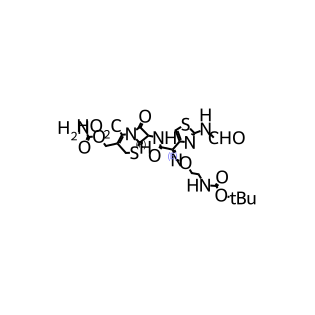 CC(C)(C)OC(=O)NCCO/N=C(/C(=O)NC1C(=O)N2C(C(=O)O)=C(COC(N)=O)CS[C@H]12)c1csc(NC=O)n1